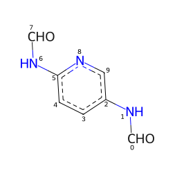 O=CNc1ccc(NC=O)nc1